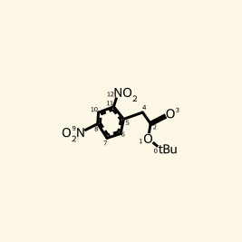 CC(C)(C)OC(=O)Cc1ccc([N+](=O)[O-])cc1[N+](=O)[O-]